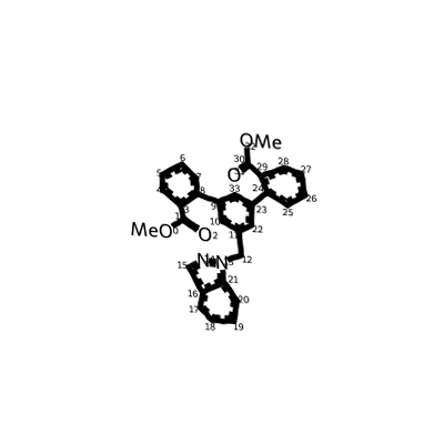 COC(=O)c1ccccc1-c1cc(Cn2ncc3ccccc32)cc(-c2ccccc2C(=O)OC)c1